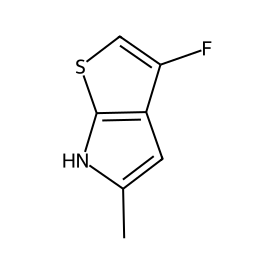 Cc1cc2c(F)csc2[nH]1